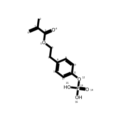 C=C(C)C(=O)OCCc1ccc(OP(=O)(O)O)cc1